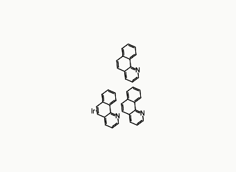 [Ir].c1ccc2c(c1)ccc1cccnc12.c1ccc2c(c1)ccc1cccnc12.c1ccc2c(c1)ccc1cccnc12